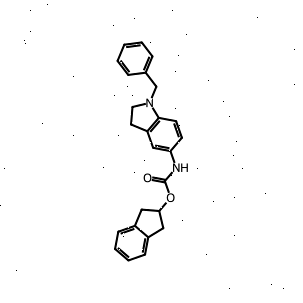 O=C(Nc1ccc2c(c1)CCN2Cc1ccccc1)OC1Cc2ccccc2C1